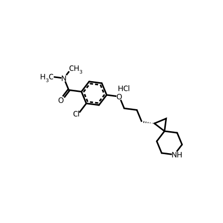 CN(C)C(=O)c1ccc(OCCC[C@@H]2CC23CCNCC3)cc1Cl.Cl